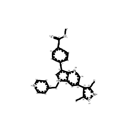 COC(=O)c1ccc(-c2cn(Cc3ccncc3)c3cc(-c4c(C)noc4C)cnc23)cc1